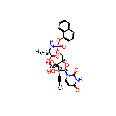 CCCCOC(=O)[C@H](C)NP(=O)(OC[C@H]1O[C@@H](n2ccc(=O)[nH]c2=O)[C@@](O)(C#CCl)[C@@H]1O)Oc1cccc2ccccc12